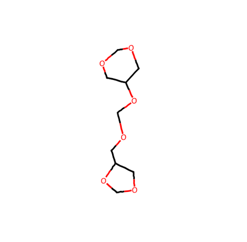 C1OCC(OCOCC2COCO2)CO1